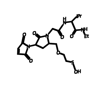 CCNC(=O)C(NC(=O)CN1C(=O)C(N2C(=O)C=CC2=O)CC1COCCSO)C(C)C